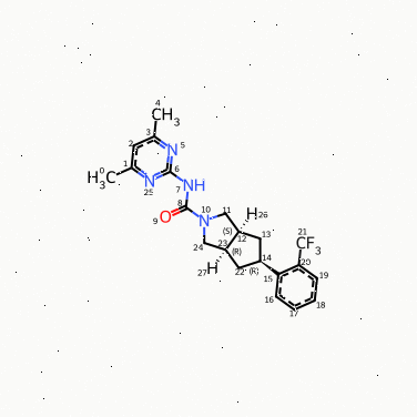 Cc1cc(C)nc(NC(=O)N2C[C@H]3C[C@@H](c4ccccc4C(F)(F)F)C[C@H]3C2)n1